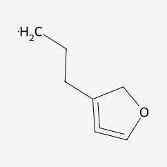 [CH2]CCC1=C=COC1